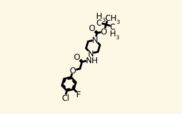 CC(C)(C)OC(=O)N1CCN(NC(=O)COc2ccc(Cl)c(F)c2)CC1